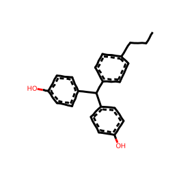 CCCc1ccc(C(c2ccc(O)cc2)c2ccc(O)cc2)cc1